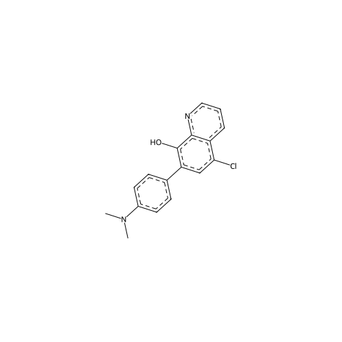 CN(C)c1ccc(-c2cc(Cl)c3cccnc3c2O)cc1